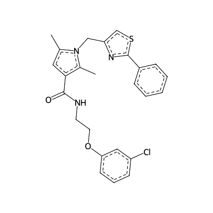 Cc1cc(C(=O)NCCOc2cccc(Cl)c2)c(C)n1Cc1csc(-c2ccccc2)n1